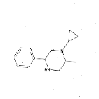 CC1CNC(c2ccccc2)CN1C1CC1